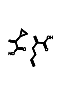 C=C(C(=O)O)C1CC1.C=CCCC(=C)C(=O)O